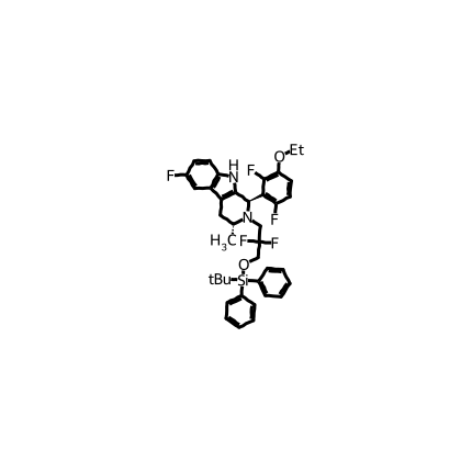 [CH2]COc1ccc(F)c([C@@H]2c3[nH]c4ccc(F)cc4c3C[C@@H](C)N2CC(F)(F)CO[Si](c2ccccc2)(c2ccccc2)C(C)(C)C)c1F